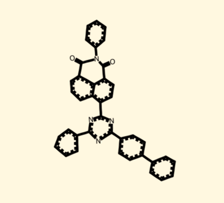 O=C1c2cccc3c(-c4nc(-c5ccccc5)nc(-c5ccc(-c6ccccc6)cc5)n4)ccc(c23)C(=O)N1c1ccccc1